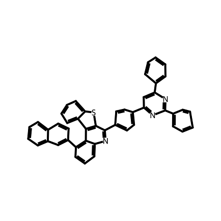 c1ccc(-c2cc(-c3ccc(-c4nc5cccc(-c6ccc7ccccc7c6)c5c5c4sc4ccccc45)cc3)nc(-c3ccccc3)n2)cc1